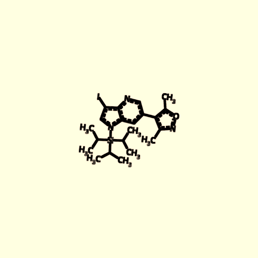 Cc1noc(C)c1-c1cnc2c(I)cn([Si](C(C)C)(C(C)C)C(C)C)c2c1